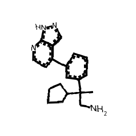 CC(CN)(c1cccc(-c2ccnc3[nH]ncc23)c1)C1CCCC1